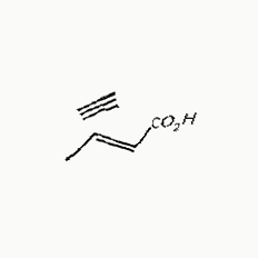 C#C.C/C=C/C(=O)O